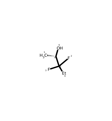 CCC(F)(F)[C@H](C)O